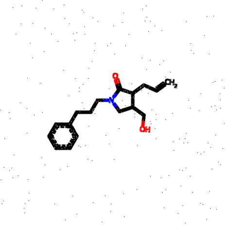 C=CCC1C(=O)N(CCCc2ccccc2)CC1CO